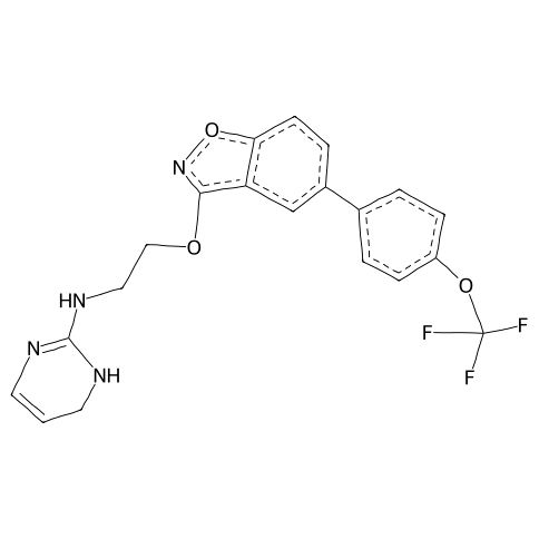 FC(F)(F)Oc1ccc(-c2ccc3onc(OCCNC4=NC=CCN4)c3c2)cc1